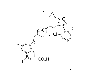 Cc1cc(OCC23CCC(/C=C/c4c(-c5c(Cl)cncc5Cl)noc4C4CC4)(CC2)CC3)c2cc(C(=O)O)cc(F)c2n1